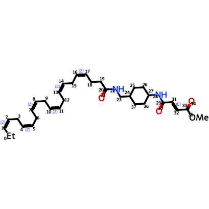 CC/C=C\C/C=C\C/C=C\C/C=C\C/C=C\C/C=C\CCC(=O)NCC1CCC(NC(=O)/C=C/C(=O)OC)CC1